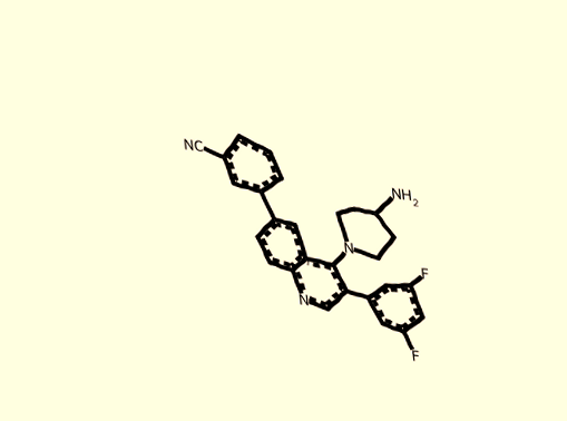 N#Cc1cccc(-c2ccc3ncc(-c4cc(F)cc(F)c4)c(N4CCC(N)CC4)c3c2)c1